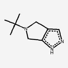 CC(C)(C)N1Cc2cn[nH]c2C1